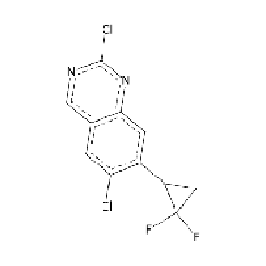 FC1(F)CC1c1cc2nc(Cl)ncc2cc1Cl